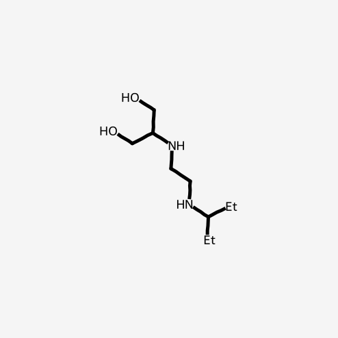 CCC(CC)NCCNC(CO)CO